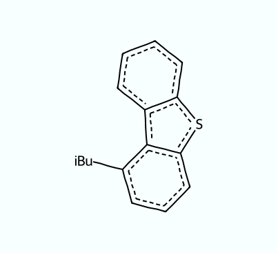 CCC(C)c1cccc2sc3ccccc3c12